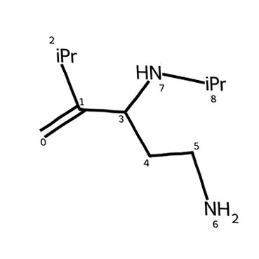 C=C(C(C)C)C(CCN)NC(C)C